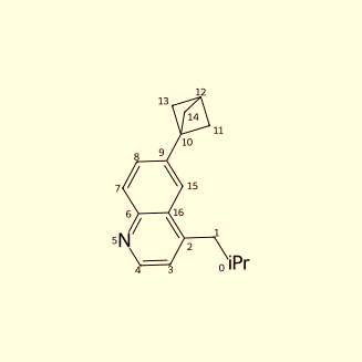 CC(C)Cc1ccnc2ccc(C34CC(C3)C4)cc12